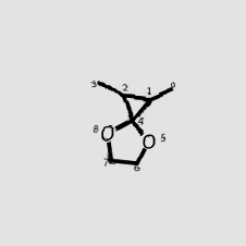 CC1C(C)C12OCCO2